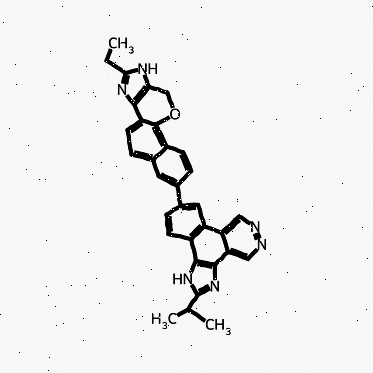 CCc1nc2c([nH]1)COc1c-2ccc2cc(-c3ccc4c(c3)c3cnncc3c3nc(C(C)C)[nH]c43)ccc12